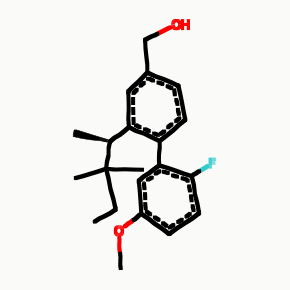 CCC(C)(C)[C@@H](C)c1cc(CO)ccc1-c1cc(OC)ccc1F